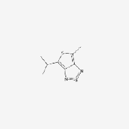 Cc1sc(C(C)C)c2c1N=S=N2